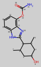 CC1CC(O)CC(C)C1c1nc2c(OC(N)=O)cccc2[nH]1